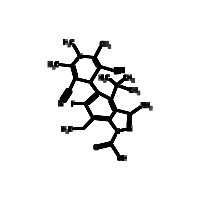 CCc1c(F)c(C2C(C#N)=C(C)N(C)C(C)=C2C#N)c(C(C)(C)C)c2c(N)nn(C(=O)O)c12